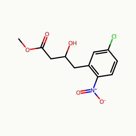 COC(=O)CC(O)Cc1cc(Cl)ccc1[N+](=O)[O-]